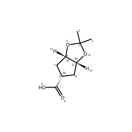 CC1(C)O[C@H]2C[C@@H](C(=O)O)C[C@H]2O1